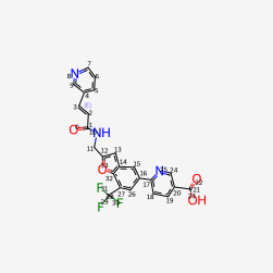 O=C(/C=C/c1cccnc1)NCc1cc2cc(-c3ccc(C(=O)O)cn3)cc(C(F)(F)F)c2o1